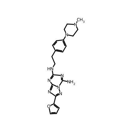 CN1CCN(c2ccc(CCNc3nc(N)n4nc(-c5ccco5)nc4n3)cc2)CC1